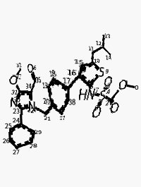 COC(=O)S(=O)(=O)Nc1sc(CC(C)C)cc1-c1ccc(Cn2c(-c3ccccc3)nc(OC)c2C=O)cc1